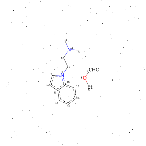 CCOC=O.CN(C)CCn1ccc2ccccc21